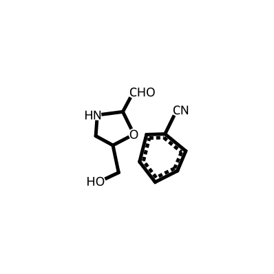 N#Cc1ccccc1.O=CC1NCC(CO)O1